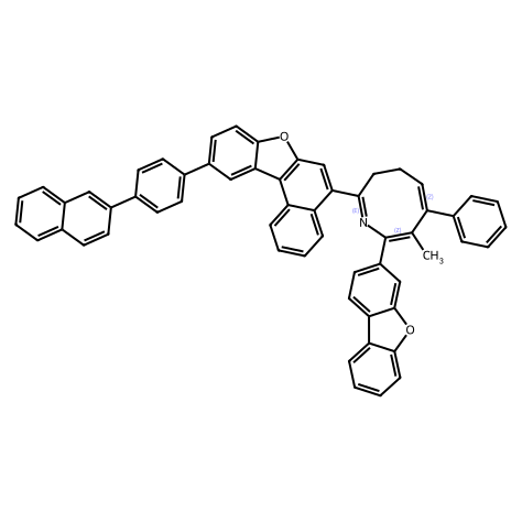 CC1=C(c2ccc3c(c2)oc2ccccc23)/N=C(/c2cc3oc4ccc(-c5ccc(-c6ccc7ccccc7c6)cc5)cc4c3c3ccccc23)CC/C=C\1c1ccccc1